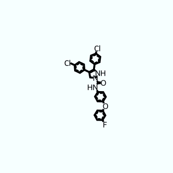 O=C(Nc1ccc(Oc2cccc(F)c2)cc1)N1CC(c2ccc(Cl)cc2)=C(c2ccc(Cl)cc2)N1